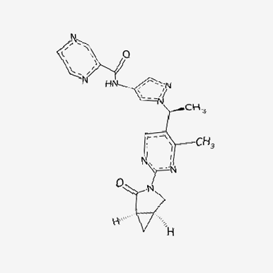 Cc1nc(N2C[C@H]3C[C@H]3C2=O)ncc1[C@H](C)n1cc(NC(=O)c2cnccn2)cn1